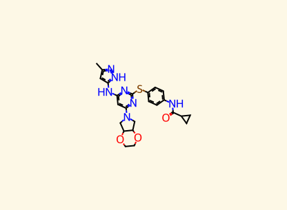 Cc1cc(Nc2cc(N3CC4OCCOC4C3)nc(Sc3ccc(NC(=O)C4CC4)cc3)n2)[nH]n1